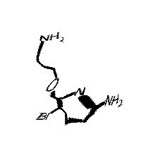 NCCOc1nc(N)ccc1Br